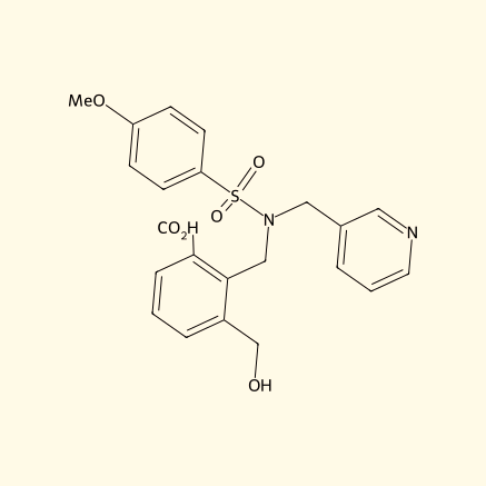 COc1ccc(S(=O)(=O)N(Cc2cccnc2)Cc2c(CO)cccc2C(=O)O)cc1